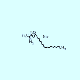 CCCCCCCC/C=C\CCCCCCCC(=O)OC(=O)C(C)N.[Na]